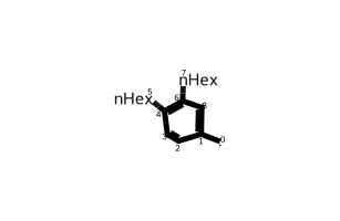 [CH2]c1ccc(CCCCCC)c(CCCCCC)c1